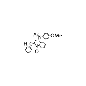 COc1ccc(N(C(C)=O)[C@@H]2C[C@H](C)N(C(=O)c3ccccc3)c3ccccc32)cc1